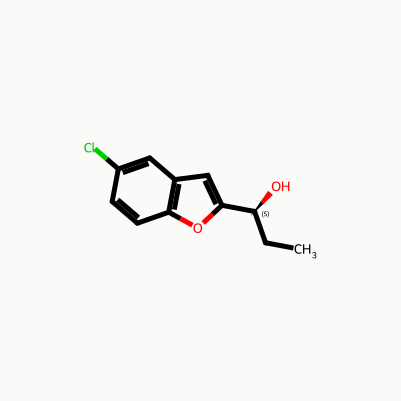 CC[C@H](O)c1cc2cc(Cl)ccc2o1